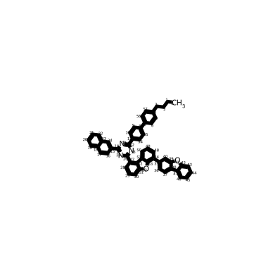 CCCCc1ccc(-c2ccc(-c3nc(-c4ccc5ccccc5c4)nc(-c4cccc5oc6c(-c7ccc8c(c7)oc7ccccc78)cccc6c45)n3)cc2)cc1